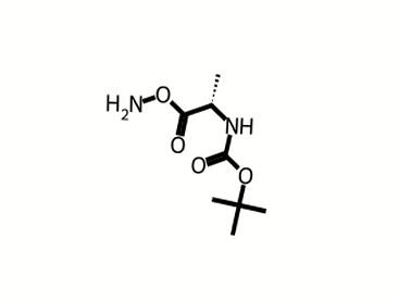 C[C@H](NC(=O)OC(C)(C)C)C(=O)ON